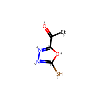 CCC(=O)c1nnc(S)o1